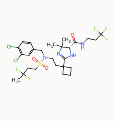 CC(F)(F)CCS(=O)(=O)N(CCC1(C2=NC(C)(C)[C@H](C(=O)NCCC(F)(F)F)N2)CCC1)Cc1ccc(Cl)c(Cl)c1